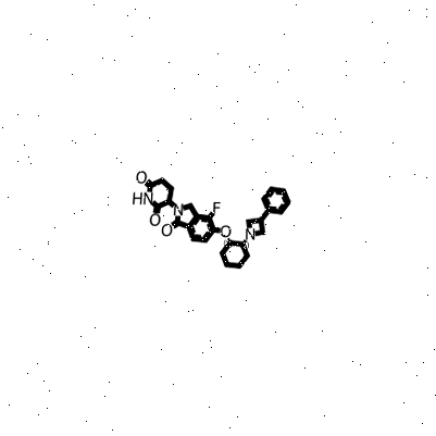 O=C1CCC(N2Cc3c(ccc(O[C@H]4CCCC[C@@H]4N4CC(c5ccccc5)C4)c3F)C2=O)C(=O)N1